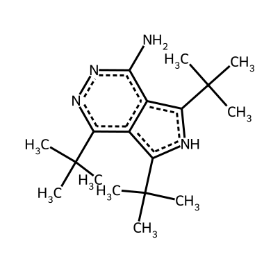 CC(C)(C)c1nnc(N)c2c(C(C)(C)C)[nH]c(C(C)(C)C)c12